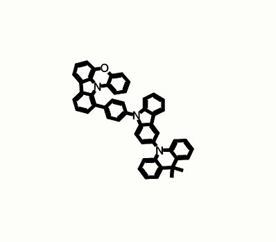 CC1(C)c2ccccc2N(c2ccc3c(c2)c2ccccc2n3-c2ccc(-c3cccc4c5cccc6c5n(c34)-c3ccccc3O6)cc2)c2ccccc21